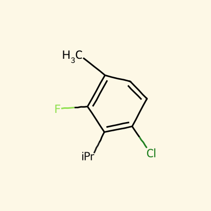 Cc1ccc(Cl)c(C(C)C)c1F